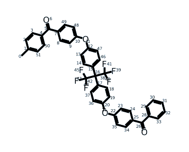 Cc1ccc(C(=O)c2ccc(Oc3ccc(C(c4ccc(Oc5ccc(C(=O)c6ccccc6)cc5)cc4)(C(F)(F)F)C(F)(F)F)cc3)cc2)cc1